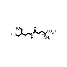 N[C@@H](CCC(=O)NCCC(CO)CO)C(=O)O